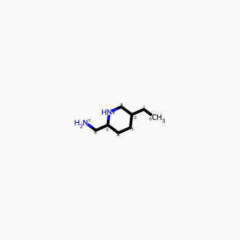 CCC1CCC(CN)NC1